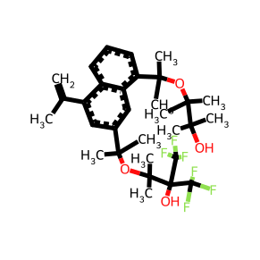 C=C(C)c1cc(C(C)(C)OC(C)(C)C(O)(C(F)(F)F)C(F)(F)F)cc2c(C(C)(C)OC(C)(C)C(C)(C)O)cccc12